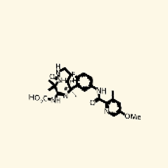 COc1cnc(C(=O)Nc2ccc(F)c([C@@]3(C)N=C(NC(=O)O)C(C)(C)[SH]4(=O)NCC[C@@H]34)c2)c(C)c1